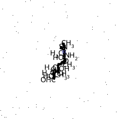 C/C(=C\c1csc(C)n1)C(N)C(O)C1OC1(C)CCCC(C)C(O)C(C)C(=O)C(C)(C)C(O)CC=O